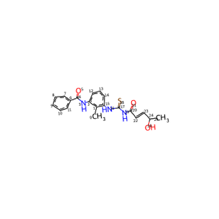 Cc1c(NC(=O)c2ccccc2)cccc1NC(=S)NC(=O)/C=C/C(C)O